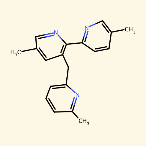 Cc1ccc(-c2ncc(C)cc2Cc2cccc(C)n2)nc1